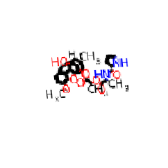 COc1ccc2c3c1OC14CCC(C)[C@H](C2)[C@](O)(CC=C1OC(=O)[C@H](C)OC(=O)[C@H](C)NC(=O)[C@@H]1CCCN1)C34